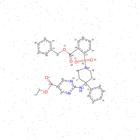 CCOC(=O)c1cnc(NC2(c3ccccc3)CCN(S(=O)(=O)c3ccccc3C(=O)OCc3ccccc3)CC2)nc1